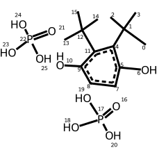 CC(C)(C)c1c(O)ccc(O)c1C(C)(C)C.O=P(O)(O)O.O=P(O)(O)O